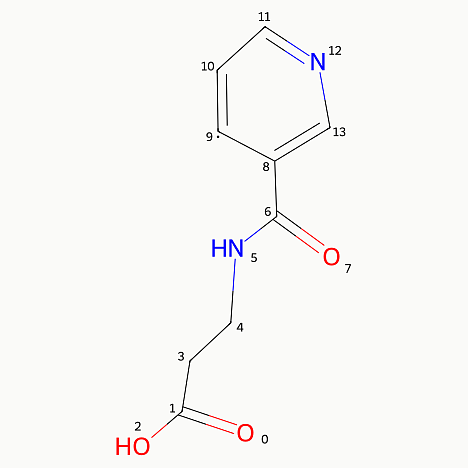 O=C(O)CCNC(=O)c1[c]ccnc1